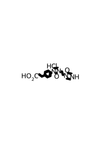 Cl.O=C(O)CCc1ccc(N2CCN(CCN3CCNCC3=O)C2=O)cc1